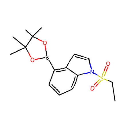 CCS(=O)(=O)n1ccc2c(B3OC(C)(C)C(C)(C)O3)cccc21